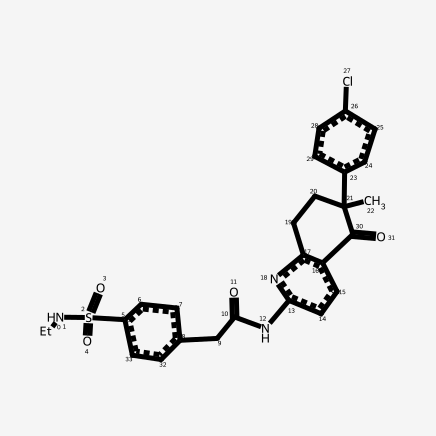 CCNS(=O)(=O)c1ccc(CC(=O)Nc2ccc3c(n2)CCC(C)(c2ccc(Cl)cc2)C3=O)cc1